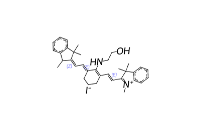 CC1/C(=C/C=C2\CCCC(/C=C/C3=[N+](C)c4ccccc4C3(C)C)=C2NCCO)C(C)(C)c2ccccc21.[I-]